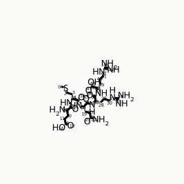 CSCC[C@H](NC(=O)[C@@H](N)CCC(=O)O)C(=O)N[C@@H](CCC(N)=O)C(=O)N[C@@H](CCCNC(=N)N)C(=O)N[C@@H](CCCNC(=N)N)C(=O)O